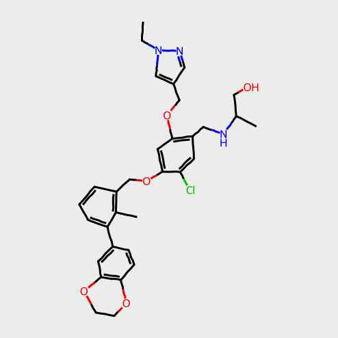 CCn1cc(COc2cc(OCc3cccc(-c4ccc5c(c4)OCCO5)c3C)c(Cl)cc2CNC(C)CO)cn1